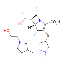 C[C@@H](O)[C@H]1C(=O)N2C(C(=O)O)=C(S[C@@H]3CN[C@H](CC4CCN(CCO)C4)C3)[C@H](C)[C@H]12